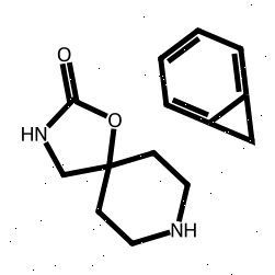 O=C1NCC2(CCNCC2)O1.c1ccc2c(c1)C2